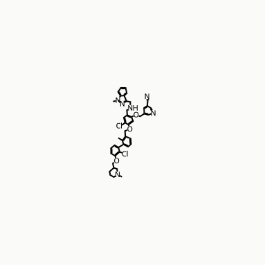 Cc1c(COc2cc(OCc3cncc(C#N)c3)c(CNCc3nn(C)c4ccccc34)cc2Cl)cccc1-c1cccc(OCC2CCCN(C)C2)c1Cl